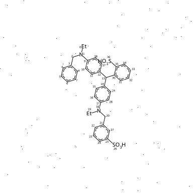 CCN(Cc1ccccc1)c1ccc(C(c2ccc(N(CC)Cc3cccc(S(=O)(=O)O)c3)cc2)c2ccccc2S(=O)(=O)O)cc1